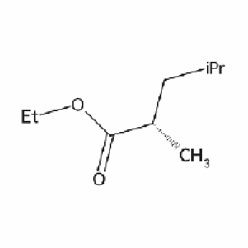 CCOC(=O)[C@@H](C)CC(C)C